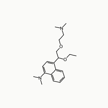 CCOC(COCCN(C)C)c1ccc(N(C)C)c2ccccc12